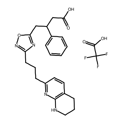 O=C(O)C(F)(F)F.O=C(O)CC(Cc1nc(CCCc2ccc3c(n2)NCCC3)no1)c1ccccc1